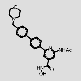 CC(=O)Nc1cc(C(=O)NO)cc(-c2ccc(-c3ccc(CN4CCOCC4)cc3)cc2)n1